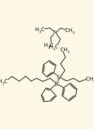 CCCCCCCC[B-](c1ccccc1)(c1ccccc1)[Si](CCCC)(CCCC)c1ccccc1.CC[N+](CC)(CC)CC